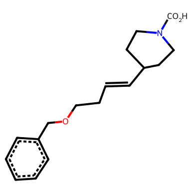 O=C(O)N1CCC(C=CCCOCc2ccccc2)CC1